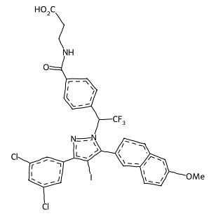 COc1ccc2cc(-c3c(I)c(-c4cc(Cl)cc(Cl)c4)nn3C(c3ccc(C(=O)NCCC(=O)O)cc3)C(F)(F)F)ccc2c1